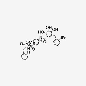 COC(=O)C(Cc1ccccc1)NS(=O)(=O)c1ccc(NC(=O)c2cc(Cc3ccccc3C(C)C)c(O)c(O)c2O)cc1